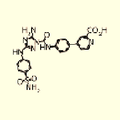 Nc1nc(Nc2ccc(S(N)(=O)=O)cc2)nn1C(=O)Nc1ccc(-c2ccnc(C(=O)O)c2)cc1